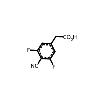 N#Cc1c(F)cc(CC(=O)O)cc1F